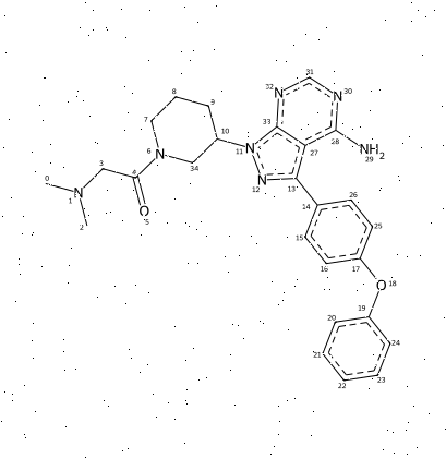 CN(C)CC(=O)N1CCCC(n2nc(-c3ccc(Oc4ccccc4)cc3)c3c(N)ncnc32)C1